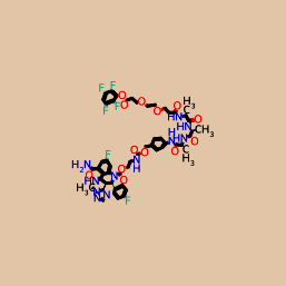 C[C@H](NC(=O)CCOCCOCCC(=O)Oc1c(F)c(F)cc(F)c1F)C(=O)N[C@@H](C)C(=O)N[C@@H](C)C(=O)Nc1ccc(COC(=O)NCCOC(=O)N2c3cc(F)cc(C(N)=O)c3C(=N)[C@H](c3ncnn3C)[C@H]2c2ccc(F)cc2)cc1